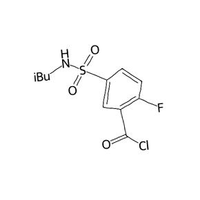 CCC(C)NS(=O)(=O)c1ccc(F)c(C(=O)Cl)c1